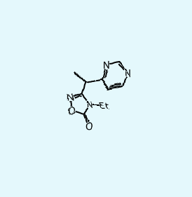 CCn1c(C(C)c2ccncn2)noc1=O